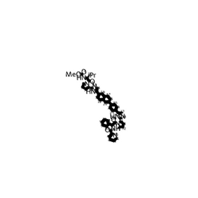 COC(=O)N[C@H](C(=O)N1CCC[C@H]1c1ncc(-c2ccc3cc(-c4ccc(-c5cnc([C@@H]6CCCN6C(=O)[C@H](NC(=O)c6ccccn6)c6ccccc6)[nH]5)cc4)ccc3c2)[nH]1)C(C)C